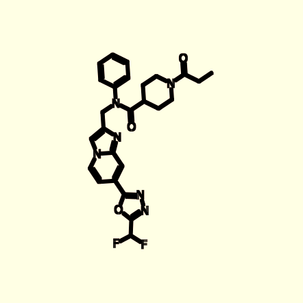 CCC(=O)N1CCC(C(=O)N(Cc2cn3ccc(-c4nnc(C(F)F)o4)cc3n2)c2ccccc2)CC1